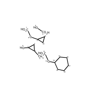 CC1CC1O.O=C(O)O.O=C(O)OC1CC1.O=C(O)OC1CCCCC1